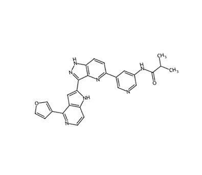 CC(C)C(=O)Nc1cncc(-c2ccc3[nH]nc(-c4cc5c(-c6ccoc6)nccc5[nH]4)c3n2)c1